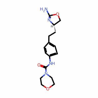 NC1=N[C@@H](CCc2ccc(NC(=O)N3CCOCC3)cc2)CO1